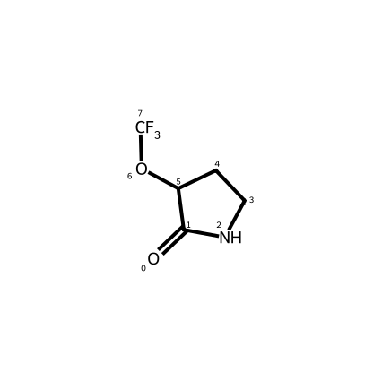 O=C1N[CH]CC1OC(F)(F)F